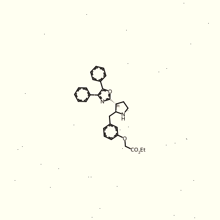 CCOC(=O)COc1cccc(CC2NCC[C@H]2c2nc(-c3ccccc3)c(-c3ccccc3)o2)c1